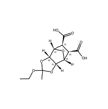 CCOC1(C)O[C@@H]2[C@H](O1)[C@H]1O[C@@H]2[C@H](C(=O)O)[C@@H]1C(=O)O